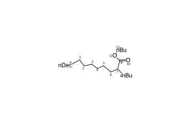 CCCCCCCCCCCCCCCCC(CCCC)C(=O)OCCCC